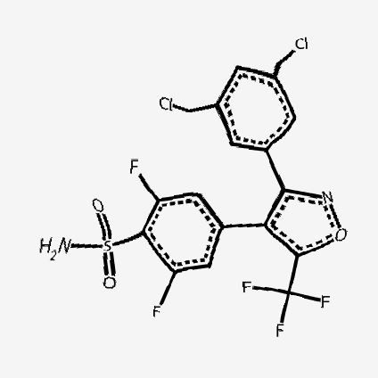 NS(=O)(=O)c1c(F)cc(-c2c(-c3cc(Cl)cc(Cl)c3)noc2C(F)(F)F)cc1F